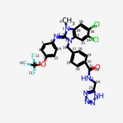 Cn1/c(=N/c2ccc(OC(F)(F)F)cc2)n(Cc2ccc(C(=O)NCc3nnn[nH]3)cc2)c2cc(Cl)c(Cl)cc21